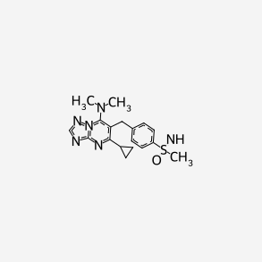 CN(C)c1c(Cc2ccc(S(C)(=N)=O)cc2)c(C2CC2)nc2ncnn12